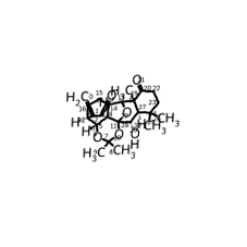 C=C1C(=O)[C@@]23[C@@H]4OC(C)(C)OC25OC([C@@H]3CC[C@@H]14)[C@]1(C)C(=O)CCC(C)(C)[C@H]1[C@@H]5O